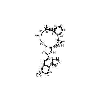 CC1CCCC(NC(=O)/C=C/c2cc(Cl)ccc2-n2cnnn2)c2nc(c[nH]2)-c2ccccc2NC(=O)C1